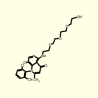 Cc1cc(=O)c2c(NCCOCCOCCOCCO)ncc(Cl)c2n1-c1c(Cl)cccc1C#N